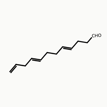 C=CC/C=C/CC/C=C/CCC=O